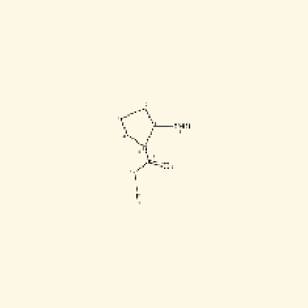 O=CC1CCCN1C(=O)CF